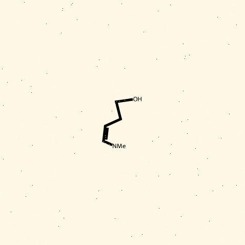 CN/C=C\CCO